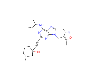 CCC(C)Nc1nc(C#CC2(O)CCCC(C)C2)nc2c1ncn2Cc1c(C)noc1C